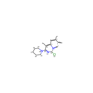 C=C\C(C)=C/C(N=C)=C(C)/C(=N\CCl)N1CCCCC1